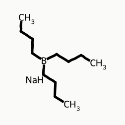 CCCCB(CCCC)CCCC.[NaH]